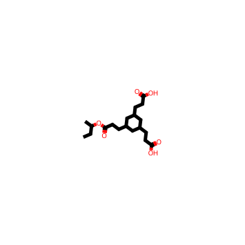 CCC(C)OC(=O)CCC1CC(CCC(=O)O)CC(CCC(=O)O)C1